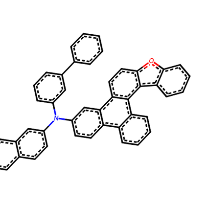 c1ccc(-c2cccc(N(c3ccc4ccccc4c3)c3ccc4c5ccccc5c5c(ccc6oc7ccccc7c65)c4c3)c2)cc1